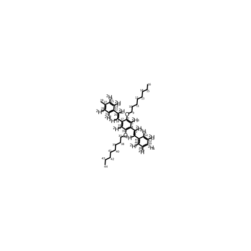 [2H]/C(=C(/[2H])c1c([2H])c(OCCCCCCCC)c(/C([2H])=C(\[2H])c2c([2H])c([2H])c(C)c([2H])c2[2H])c([2H])c1OCCCCCCCC)c1c([2H])c([2H])c([2H])c([2H])c1[2H]